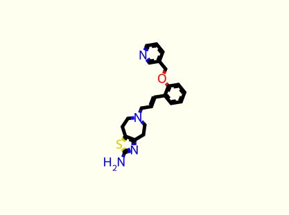 Nc1nc2c(s1)CCN(CC=Cc1ccccc1OCc1cccnc1)CC2